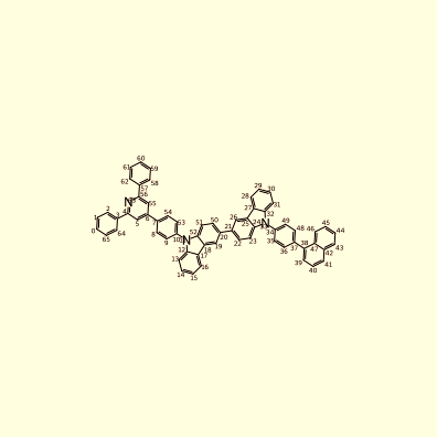 c1ccc(-c2cc(-c3ccc(-n4c5ccccc5c5cc(-c6ccc7c(c6)c6ccccc6n7-c6ccc(-c7cccc8ccccc78)cc6)ccc54)cc3)cc(-c3ccccc3)n2)cc1